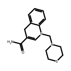 NC(=O)C1=CN(CN2CCSCC2)c2ccccc2C1